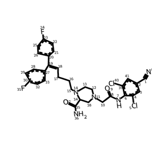 N#Cc1cc(Cl)c(NC(=O)CN2CCN(CCCC=C(c3ccc(F)cc3)c3ccc(F)cc3)C(C(N)=O)C2)c(Cl)c1